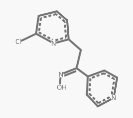 ON=C(Cc1cccc(Cl)n1)c1ccncc1